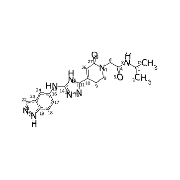 CC(C)NC(=O)CN1CCC(c2nnc(Nc3ccc4[nH]ncc4c3)[nH]2)=CC1=O